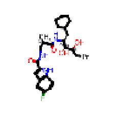 CC(C)C[C@H](O)[C@H](O)[C@H](CC1CCCCC1)NC(=O)[C@@H](C)CNC(=O)c1cc2cc(F)ccc2[nH]1